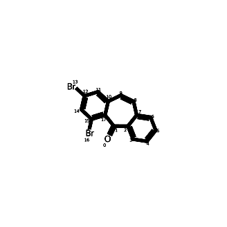 O=c1c2ccccc2ccc2cc(Br)cc(Br)c12